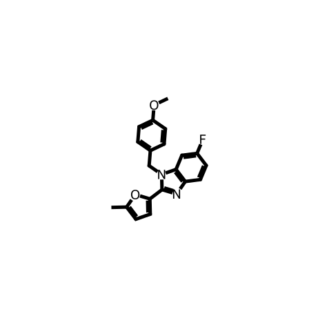 COc1ccc(Cn2c(-c3ccc(C)o3)nc3ccc(F)cc32)cc1